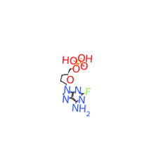 Nc1nc(F)nc2c1ncn2[C@H]1CC[C@@H](COP(=O)(O)O)O1